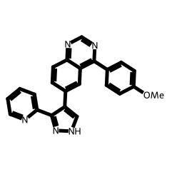 COc1ccc(-c2ncnc3ccc(-c4c[nH]nc4-c4ccccn4)cc23)cc1